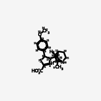 C[C@H]1[C@H](N2C=C(C(=O)O)SC2c2ccc(OC(F)(F)F)cc2)C2CCN1CC2